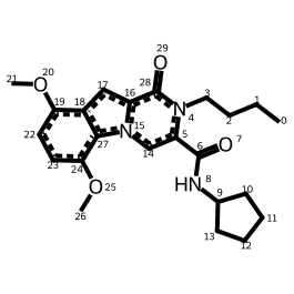 CCCCn1c(C(=O)NC2CCCC2)cn2c(cc3c(OC)ccc(OC)c32)c1=O